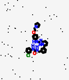 O=C(NCc1cccc(-c2cccc3nc(Nc4ccc(OCCN5CCCC5)cc4)nn23)c1)Nc1cccc(Cl)c1